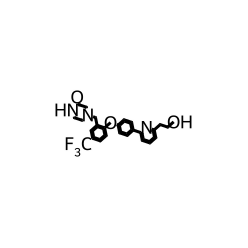 O=C1CN(Cc2cc(C(F)(F)F)ccc2Oc2ccc(-c3cccc(CCO)n3)cc2)CCN1